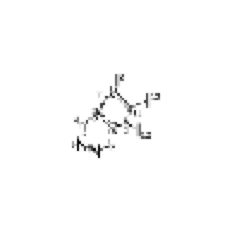 Ic1cc2cnncc2c(I)c1I